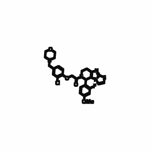 COc1ccc(C2c3c(nc4sccn34)CCN2C(=O)COc2ccc(CN3CCOCC3)cc2Cl)c(F)c1